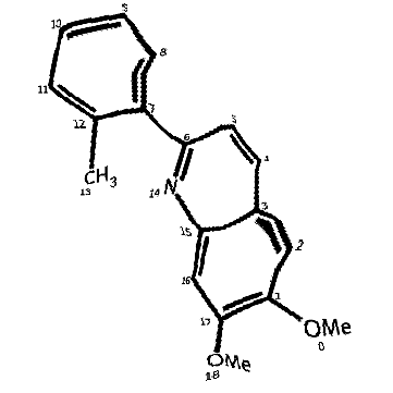 COc1cc2ccc(-c3ccccc3C)nc2cc1OC